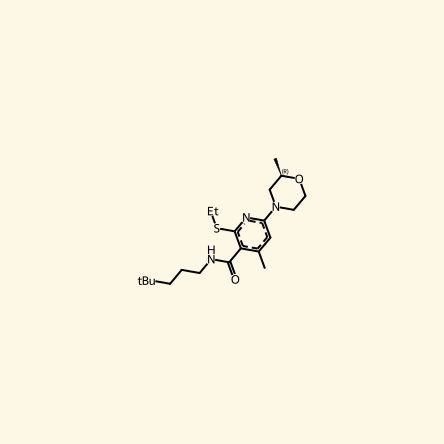 CCSc1nc(N2CCO[C@H](C)C2)cc(C)c1C(=O)NCCCC(C)(C)C